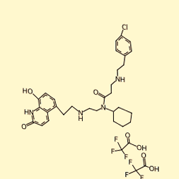 O=C(CCNCCc1ccc(Cl)cc1)N(CCNCCc1ccc(O)c2[nH]c(=O)ccc12)C1CCCCC1.O=C(O)C(F)(F)F.O=C(O)C(F)(F)F